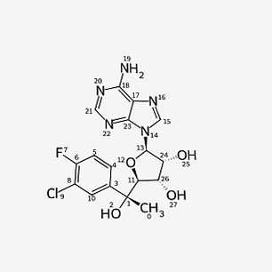 C[C@@](O)(c1ccc(F)c(Cl)c1)[C@H]1O[C@@H](n2cnc3c(N)ncnc32)[C@H](O)[C@@H]1O